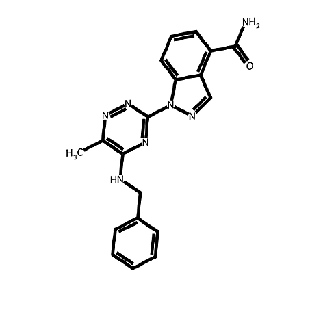 Cc1nnc(-n2ncc3c(C(N)=O)cccc32)nc1NCc1ccccc1